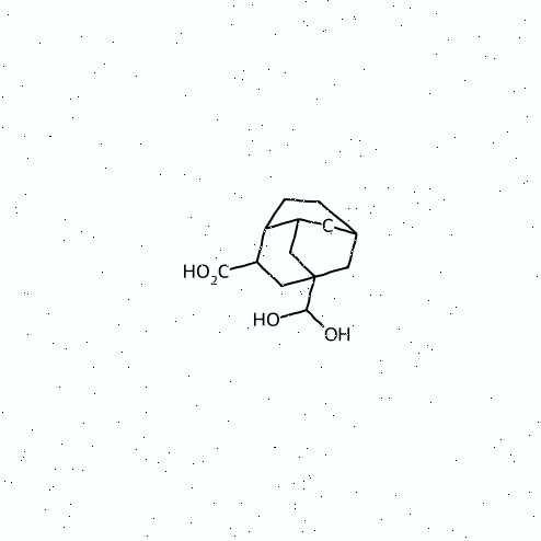 O=C(O)C1CC2(C(O)O)CC3CCC1C(C3)C2